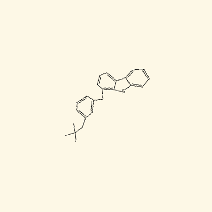 CC(C)(C)Cc1cccc(Cc2cccc3c2sc2ccccc23)c1